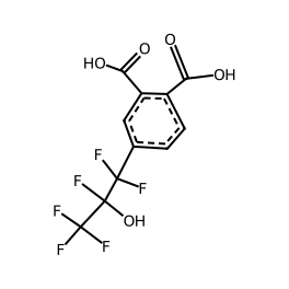 O=C(O)c1ccc(C(F)(F)C(O)(F)C(F)(F)F)cc1C(=O)O